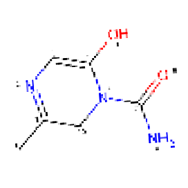 CC1=NC=C(O)N(C(N)=O)C1